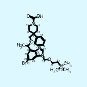 CC(OCC1(c2ccccc2)CCN(C(=O)O)CC1)c1cc(Br)cc2c1ncn2COCC[Si](C)(C)C